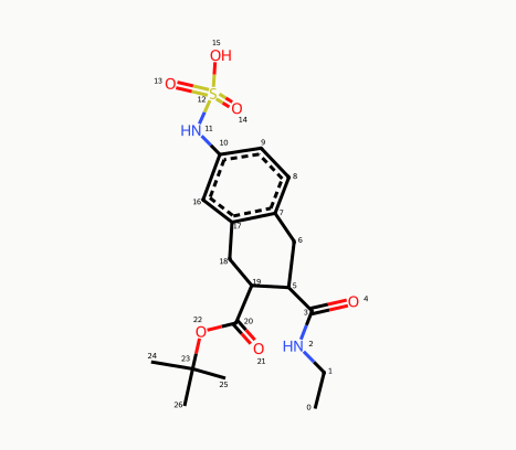 CCNC(=O)C1Cc2ccc(NS(=O)(=O)O)cc2CC1C(=O)OC(C)(C)C